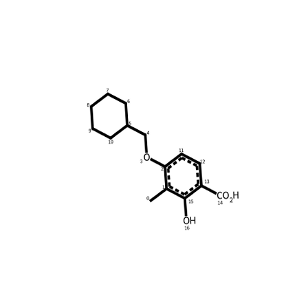 Cc1c(OCC2CCCCC2)ccc(C(=O)O)c1O